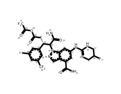 NC(=O)c1cc(NC2=NCC(F)CN2)cc2c1cnn2C(C(N)=O)[C@@H](CC(=O)OC(=O)C(F)(F)F)c1cc(I)cc(C(F)(F)F)c1